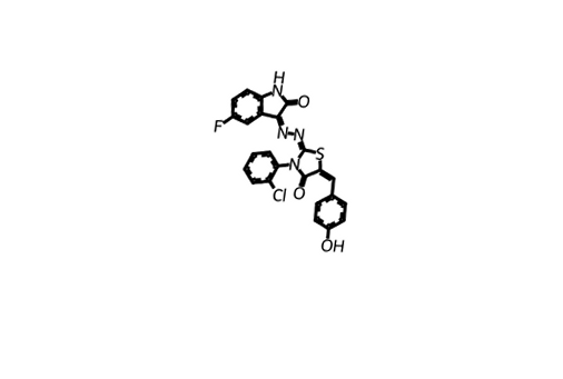 O=C1Nc2ccc(F)cc2C1=NN=C1SC(=Cc2ccc(O)cc2)C(=O)N1c1ccccc1Cl